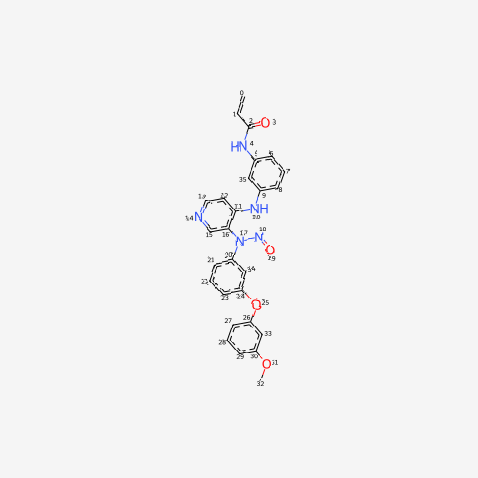 C=CC(=O)Nc1cccc(Nc2ccncc2N(N=O)c2cccc(Oc3cccc(OC)c3)c2)c1